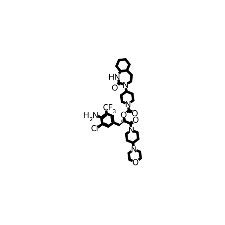 Nc1c(Cl)cc(C[C@@H](OC(=O)N2CCC(N3CCC4CCCCC4NC3=O)CC2)C(=O)N2CCC(N3CCOCC3)CC2)cc1C(F)(F)F